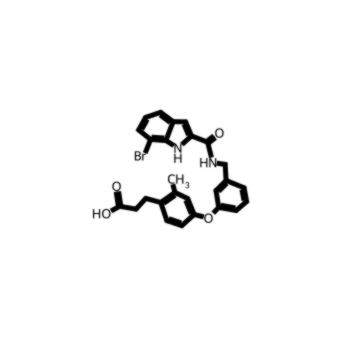 Cc1cc(Oc2cccc(CNC(=O)c3cc4cccc(Br)c4[nH]3)c2)ccc1CCC(=O)O